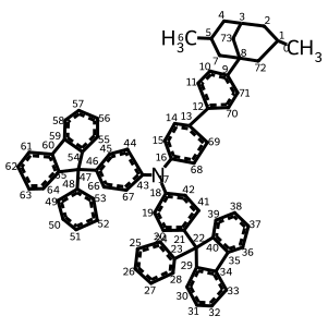 CC1CC2CC(C)CC(c3ccc(-c4ccc(N(c5ccc(C6(c7ccccc7)c7ccccc7-c7ccccc76)cc5)c5ccc(C6(c7ccccc7)c7ccccc7-c7ccccc76)cc5)cc4)cc3)(C1)C2